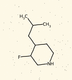 CC(C)CC1CCNCC1F